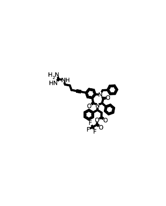 N=C(N)NCCCC#Cc1ccc2c(c1)C(=O)N(C(CC(=O)OC(=O)C(F)(F)F)c1ccccc1)C(c1ccccc1)C(=O)N2Cc1ccccc1